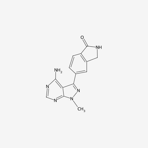 Cn1nc(-c2ccc3c(c2)CNC3=O)c2c(N)ncnc21